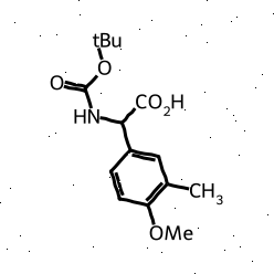 COc1ccc(C(NC(=O)OC(C)(C)C)C(=O)O)cc1C